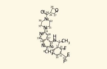 Cc1nc(NC(C)c2cccc(C(F)F)c2F)c2cc(N3CCN(C(=O)C4COC4)CC3)ncc2n1